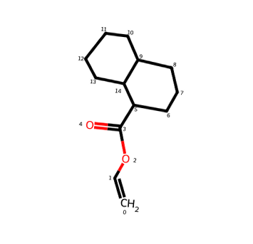 C=COC(=O)C1CCCC2CCCCC21